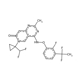 Cc1nc(NOc2cccc(C(C)(F)F)c2F)c2cn(C3(C(F)F)CC3)c(=O)cc2n1